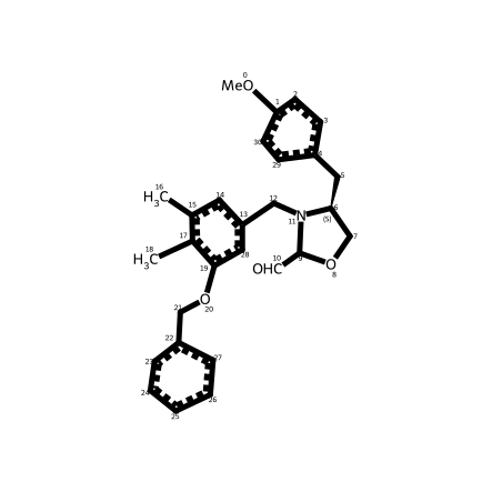 COc1ccc(C[C@H]2COC(C=O)N2Cc2cc(C)c(C)c(OCc3ccccc3)c2)cc1